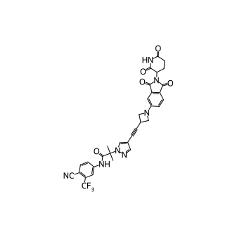 CC(C)(C(=O)Nc1ccc(C#N)c(C(F)(F)F)c1)n1cc(C#CC2CN(c3ccc4c(c3)C(=O)N(C3CCC(=O)NC3=O)C4=O)C2)cn1